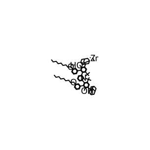 CCCCCCCCOc1cccc(-c2c(O)c(C34CC5CC(CC(C5)C3)C4)cc(C(C)(C)C)c2-c2cccc(-c3c(C(C)(C)C)cc(C45CC6CC(CC(C6)C4)C5)c(O)c3-c3cccc(OCCCCCCCC)c3)n2)c1.[CH3][Zr][CH3]